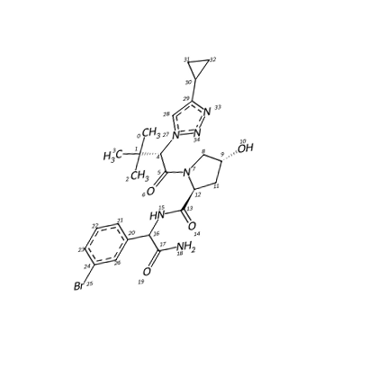 CC(C)(C)[C@@H](C(=O)N1C[C@H](O)C[C@H]1C(=O)NC(C(N)=O)c1cccc(Br)c1)n1cc(C2CC2)nn1